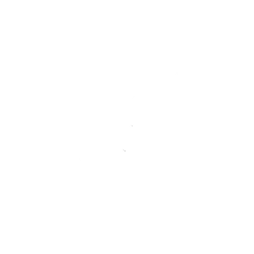 CS(=O)(=O)c1c([S+]([O-])C(F)(Cl)Cl)ncn1-c1c(Cl)cc(C(F)(F)F)cc1Cl